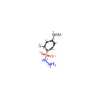 CC(=O)Nc1ccc(S(=O)(=O)NN)c(Cl)c1